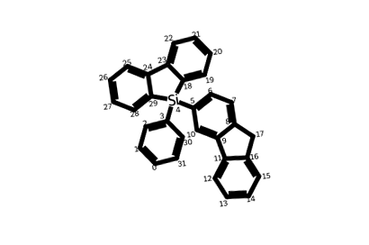 c1ccc([Si]2(c3ccc4c(c3)-c3ccccc3C4)c3ccccc3-c3ccccc32)cc1